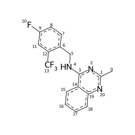 Cc1nc(NCc2ccc(F)cc2C(F)(F)F)c2ccccc2n1